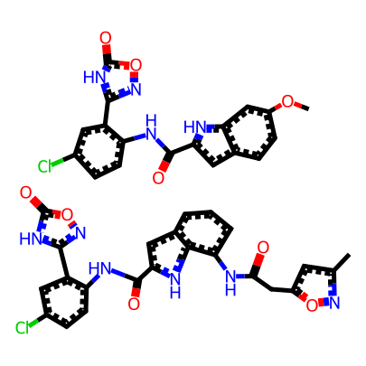 COc1ccc2cc(C(=O)Nc3ccc(Cl)cc3-c3noc(=O)[nH]3)[nH]c2c1.Cc1cc(CC(=O)Nc2cccc3cc(C(=O)Nc4ccc(Cl)cc4-c4noc(=O)[nH]4)[nH]c23)on1